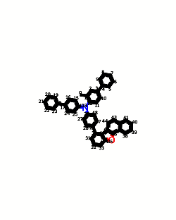 Cc1cc(-c2ccccc2)ccc1N(c1ccc(-c2ccccc2)cc1)c1ccc(-c2cccc3oc4c5ccccc5ccc4c23)cc1